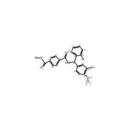 COC(=O)c1ccc(C(=O)NC(c2ccc(OC(F)(F)F)c(F)c2)c2ncccc2F)cc1